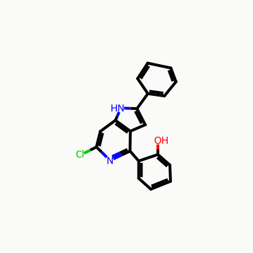 Oc1ccccc1-c1nc(Cl)cc2[nH]c(-c3ccccc3)cc12